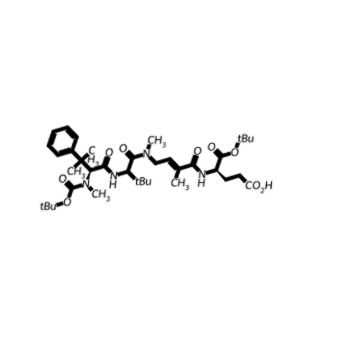 C/C(=C\CN(C)C(=O)C(NC(=O)[C@@H](N(C)C(=O)OC(C)(C)C)C(C)(C)c1ccccc1)C(C)(C)C)C(=O)N[C@H](CCC(=O)O)C(=O)OC(C)(C)C